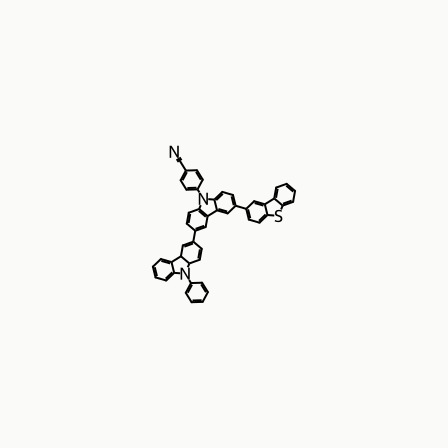 N#Cc1ccc(-n2c3ccc(C4=CC5c6ccccc6N(c6ccccc6)C5C=C4)cc3c3cc(-c4ccc5sc6ccccc6c5c4)ccc32)cc1